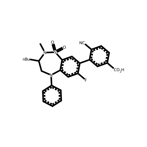 CCCCC1CN(c2ccccc2)c2cc(F)c(-c3cc(C(=O)O)ccc3C#N)cc2S(=O)(=O)N1C